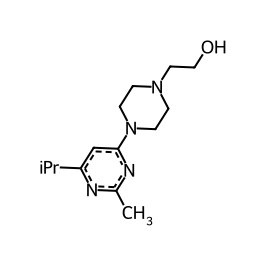 Cc1nc(C(C)C)cc(N2CCN(CCO)CC2)n1